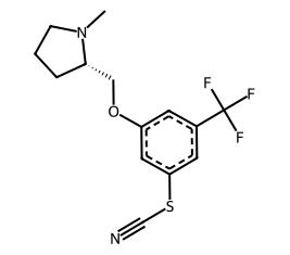 CN1CCC[C@H]1COc1cc(SC#N)cc(C(F)(F)F)c1